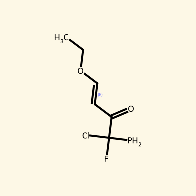 CCO/C=C/C(=O)C(F)(P)Cl